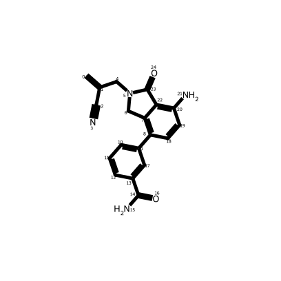 C=C(C#N)CN1Cc2c(-c3cccc(C(N)=O)c3)ccc(N)c2C1=O